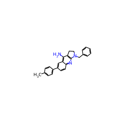 Cc1ccc(-c2ccc3nc4c(c(N)c3c2)CCN4Cc2ccccc2)cc1